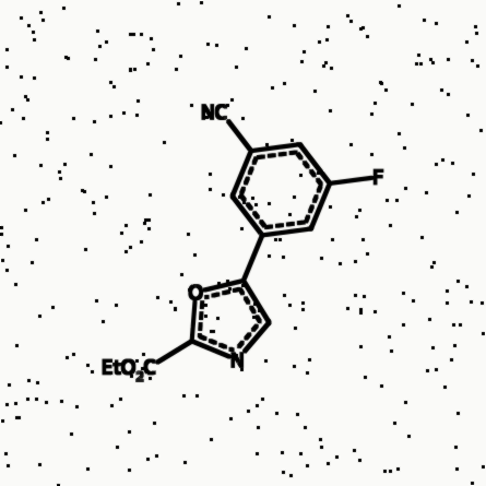 CCOC(=O)c1ncc(-c2cc(F)cc(C#N)c2)o1